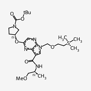 COC[C@H](C)NC(=O)c1cn(COCCS(C)(C)C)c2ncc(O[C@H]3CCN(C(=O)OC(C)(C)C)C3)nc12